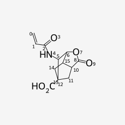 C=CC(=O)NC1C2OC(=O)C3CC1(C(=O)O)CC32